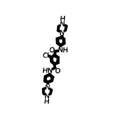 O=C(Nc1ccc(N2CCNCC2)cc1)c1ccc(C(=O)Nc2ccc(N3CCNCC3)cc2)c(Cl)c1